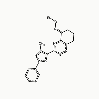 CCO/N=C1\CCCc2nnc(-c3sc(-c4cccnc4)nc3C)nc21